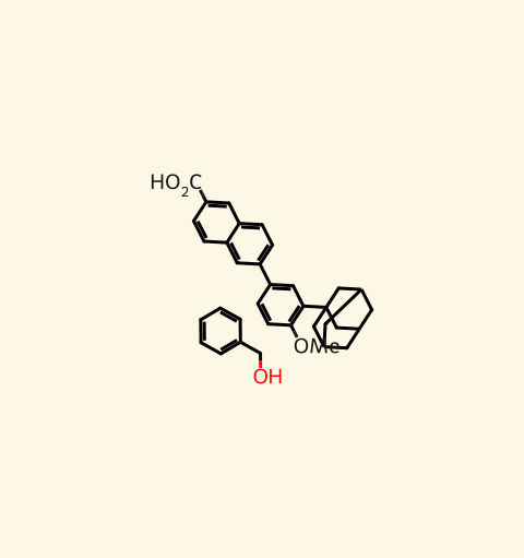 COc1ccc(-c2ccc3cc(C(=O)O)ccc3c2)cc1C12CC3CC(CC(C3)C1)C2.OCc1ccccc1